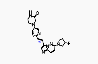 O=C1CN(c2cnc(/C=C/c3cnc4ccc(N5CCC(F)C5)nn34)nc2)CCN1